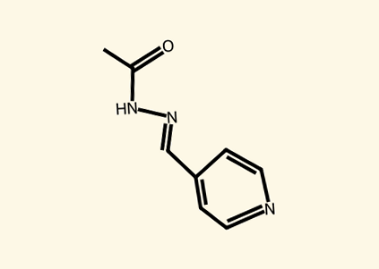 CC(=O)NN=Cc1ccncc1